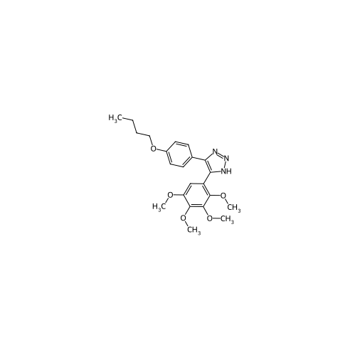 CCCCOc1ccc(-c2nn[nH]c2-c2cc(OC)c(OC)c(OC)c2OC)cc1